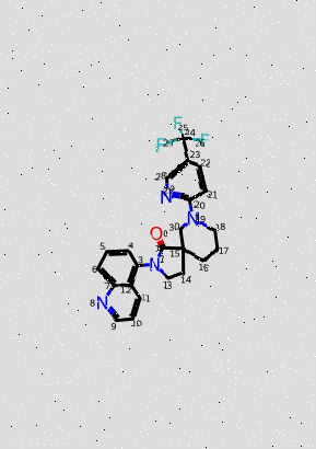 O=C1N(c2cccc3ncccc23)CCC12CCCN(c1ccc(C(F)(F)F)cn1)C2